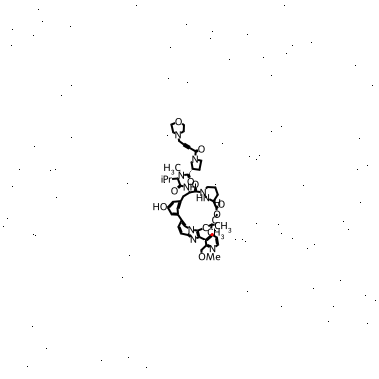 COCc1ncccc1-c1nc2ccc3cn2c1CC(C)(C)COC(=O)[C@@H]1CCCN(N1)C(=O)[C@@H](NC(=O)C(C(C)C)N(C)C(=O)[C@H]1CCN(C(=O)C#CCN2CCOCC2)C1)Cc1cc(O)cc-3c1